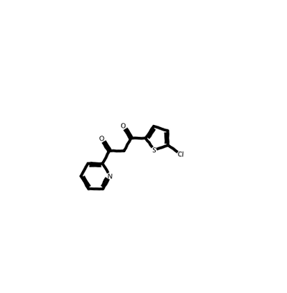 O=C(CC(=O)c1ccc(Cl)s1)c1ccccn1